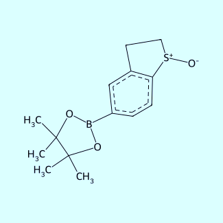 CC1(C)OB(c2ccc3c(c2)CC[S+]3[O-])OC1(C)C